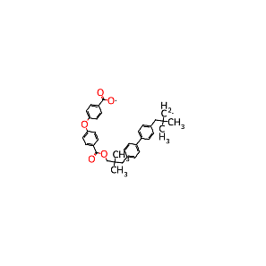 [CH2]C(C)(C)Cc1ccc(-c2ccc(CC(C)(C)COC(=O)c3ccc(Oc4ccc(C([O])=O)cc4)cc3)cc2)cc1